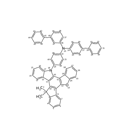 CC1(C)c2ccccc2-c2c1c1c3ccccc3n(-c3ccc(N(c4ccc(-c5ccccc5)cc4)c4cccc(-c5ccccc5)c4)cc3)c1c1c2oc2ccccc21